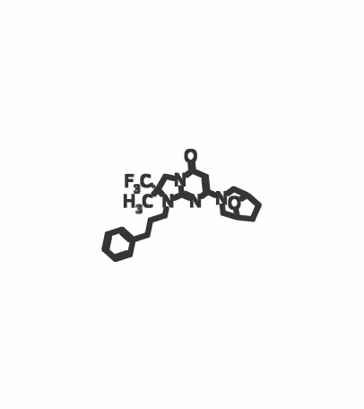 C[C@@]1(C(F)(F)F)Cn2c(nc(N3CC4CCC(C3)O4)cc2=O)N1CCCc1ccccc1